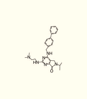 CC(C)N1Cc2c(NCc3ccc(-c4ccccc4)cc3)nc(NCCN(C)C)nc2C1=O